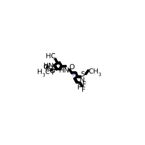 C#Cc1cc(CNC(=O)/C=C/c2ccc(C(F)(F)F)nc2SCCC)cc(F)c1NS(C)(=O)=O